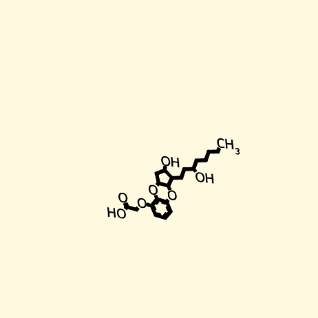 CCCCCC(O)CCC1C(O)CC2Oc3c(OCC(=O)O)cccc3OC21